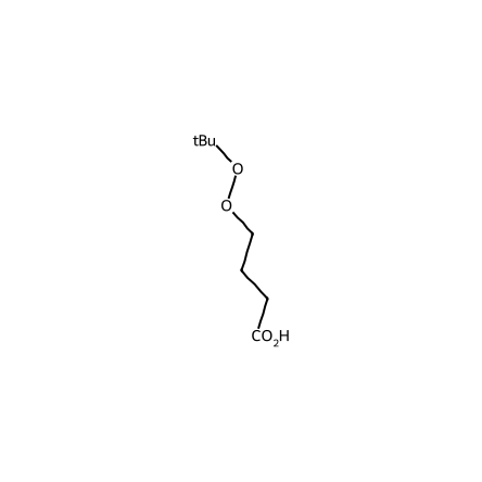 CC(C)(C)OOCCCC(=O)O